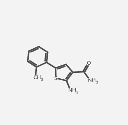 Cc1ccccc1-c1cc(C(N)=O)c(N)s1